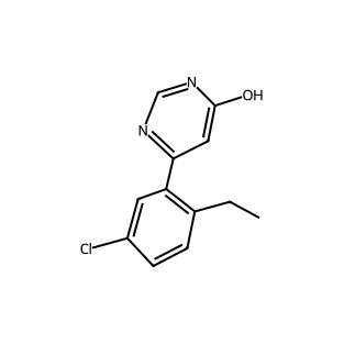 CCc1ccc(Cl)cc1-c1cc(O)ncn1